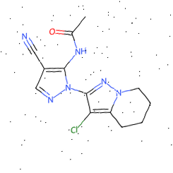 CC(=O)Nc1c(C#N)cnn1-c1nn2c(c1Cl)CCCC2